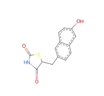 O=C1NC(=O)C(Cc2ccc3cc(O)ccc3c2)S1